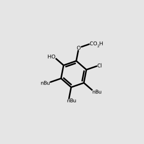 CCCCc1c(O)c(OC(=O)O)c(Cl)c(CCCC)c1CCCC